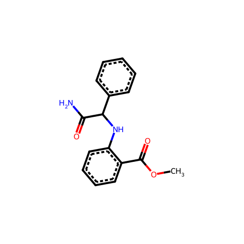 COC(=O)c1ccccc1NC(C(N)=O)c1ccccc1